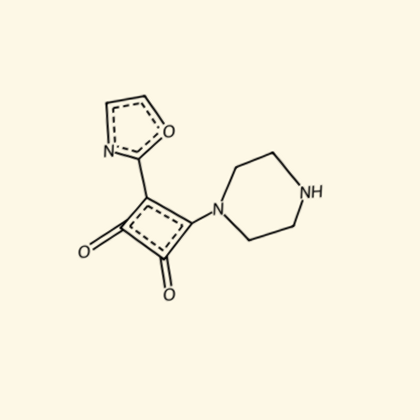 O=c1c(-c2ncco2)c(N2CCNCC2)c1=O